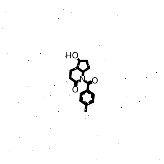 Cc1ccc(C(=O)N2C(=O)CCC3C(O)CCC32)cc1